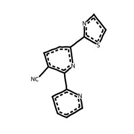 N#Cc1ccc(-c2nccs2)nc1-c1ccccn1